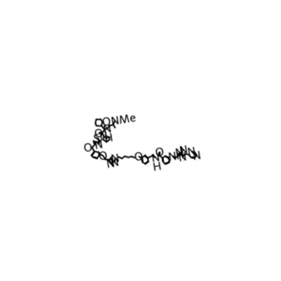 CNC(C)C(=O)NC(C(=O)N1CCC[C@H]1c1nc(C(=O)c2cccc(OCc3cn(CCCCCCOc4cccc(CNC(=O)c5cccc(NCc6nnc(-c7ccncn7)n6C)c5)c4)nn3)c2)cs1)C1CCCCC1